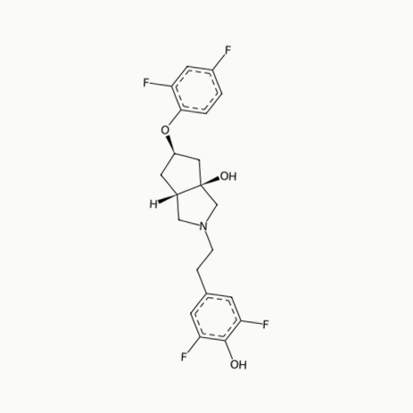 Oc1c(F)cc(CCN2C[C@@H]3C[C@@H](Oc4ccc(F)cc4F)C[C@]3(O)C2)cc1F